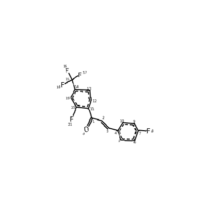 O=C(C=Cc1ccc(F)cc1)c1ccc(C(F)(F)F)cc1F